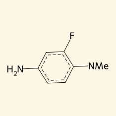 CNc1ccc(N)cc1F